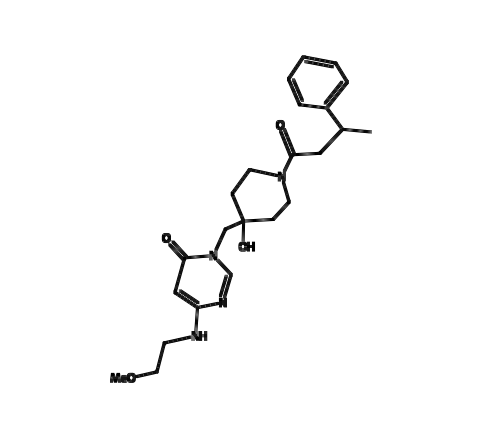 COCCNc1cc(=O)n(CC2(O)CCN(C(=O)CC(C)c3ccccc3)CC2)cn1